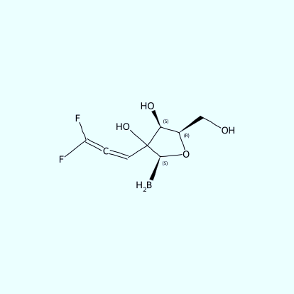 B[C@@H]1O[C@H](CO)[C@H](O)C1(O)C=C=C(F)F